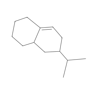 CC(C)C1CC=C2CCCCC2C1